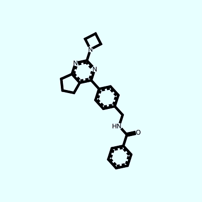 O=C(NCc1ccc(-c2nc(N3CCC3)nc3c2CCC3)cc1)c1ccccc1